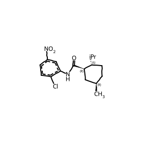 CC(C)[C@@H]1CC[C@@H](C)C[C@H]1C(=O)Nc1cc([N+](=O)[O-])ccc1Cl